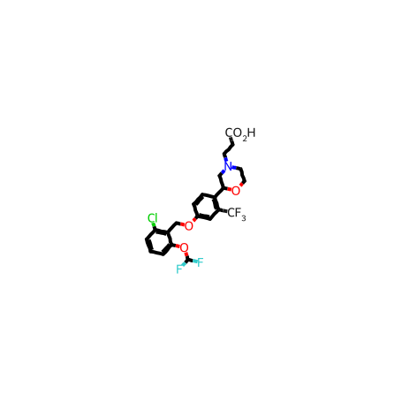 O=C(O)CCN1CCOC(c2ccc(OCc3c(Cl)cccc3OC(F)F)cc2C(F)(F)F)C1